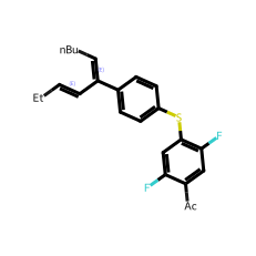 CC/C=C/C(=C\CCCC)c1ccc(Sc2cc(F)c(C(C)=O)cc2F)cc1